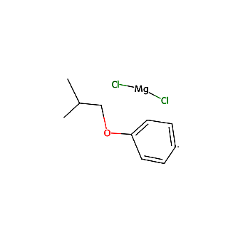 CC(C)COc1cc[c]cc1.[Cl][Mg][Cl]